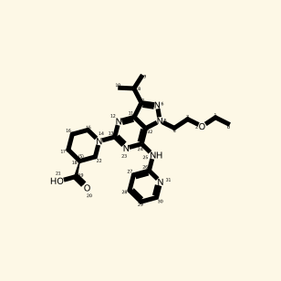 CCOCCn1nc(C(C)C)c2nc(N3CCC[C@H](C(=O)O)C3)nc(Nc3ccccn3)c21